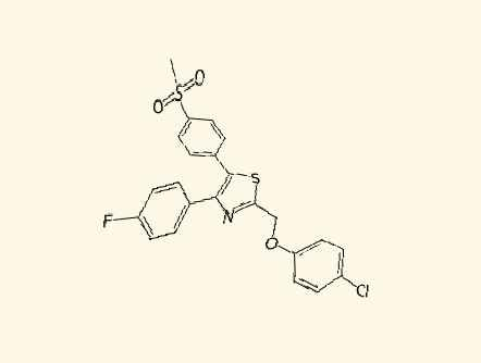 CS(=O)(=O)c1ccc(-c2sc(COc3ccc(Cl)cc3)nc2-c2ccc(F)cc2)cc1